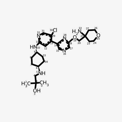 CC(C)(O)CN[C@H]1CC[C@H](Nc2cc(-c3cncc(OCC4(N)CCOCC4)n3)c(Cl)cn2)CC1